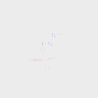 CN(C)N.O=S(=O)(Cl)Cl